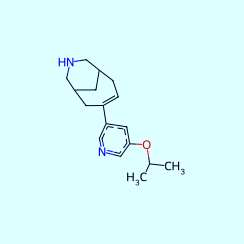 CC(C)Oc1cncc(C2=CCC3CNCC(C2)C3)c1